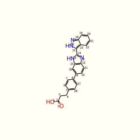 O=C(O)CCc1ccc(-c2ccc3nc(-c4[nH]nc5ccccc45)[nH]c3c2)cc1